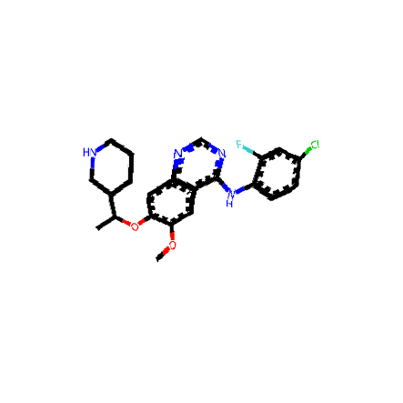 COc1cc2c(Nc3ccc(Cl)cc3F)ncnc2cc1OC(C)C1CCCNC1